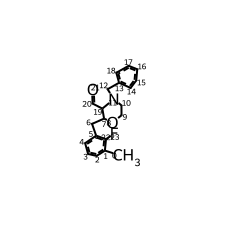 Cc1cccc(CC2OCCN(Cc3ccccc3)C2C=O)c1F